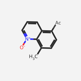 CC(=O)c1ccc(C)c2c1ccc[n+]2[O-]